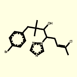 C/C(Cl)=C/CC(C(O)C(C)(C)Cc1ccc(Br)cc1)n1cncn1